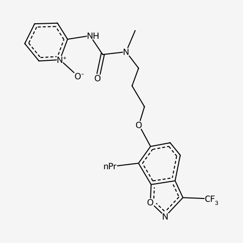 CCCc1c(OCCCN(C)C(=O)Nc2cccc[n+]2[O-])ccc2c(C(F)(F)F)noc12